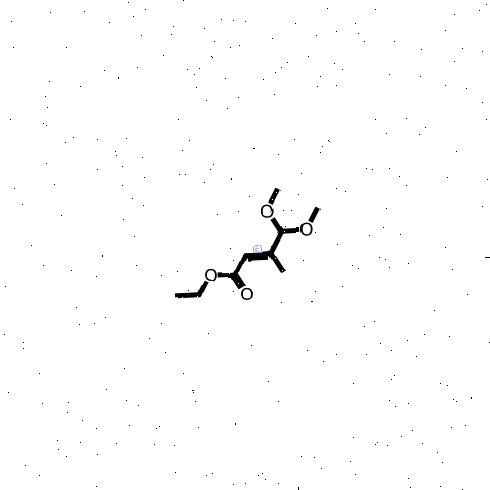 CCOC(=O)/C=C(\C)C(OC)OC